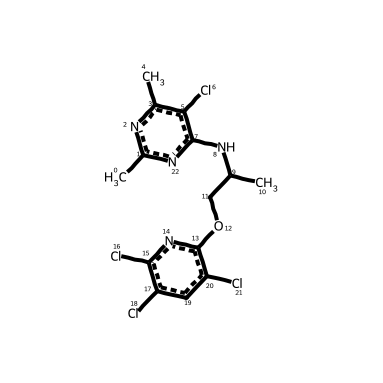 Cc1nc(C)c(Cl)c(NC(C)COc2nc(Cl)c(Cl)cc2Cl)n1